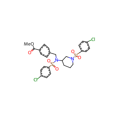 COC(=O)c1ccc(CN(C2CCCN(S(=O)(=O)c3ccc(Cl)cc3)C2)S(=O)(=O)c2ccc(Cl)cc2)cc1